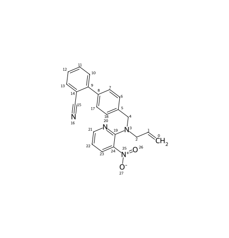 C=CCN(Cc1ccc(-c2ccccc2C#N)cc1)c1ncccc1[N+](=O)[O-]